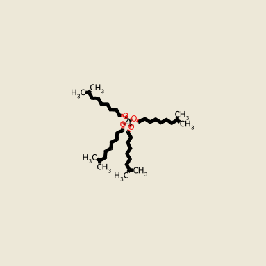 CC(C)CCCCCCC[O][Zr]([O]CCCCCCCC(C)C)([O]CCCCCCCC(C)C)[O]CCCCCCCC(C)C